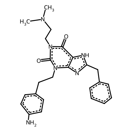 CN(C)CCn1c(=O)c2[nH]c(Cc3ccccc3)nc2n(CCc2ccc(N)cc2)c1=O